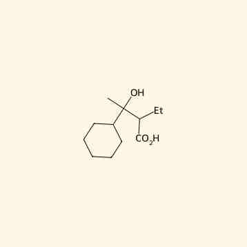 CCC(C(=O)O)C(C)(O)C1CCCCC1